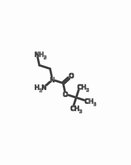 CC(C)(C)OC(=O)N(N)CCN